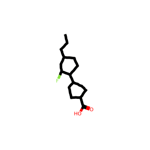 CCCC1CCC(C2CCC(C(=O)O)CC2)C(F)C1